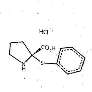 Cl.O=C(O)[C@]1(Sc2ccccc2)CCCN1